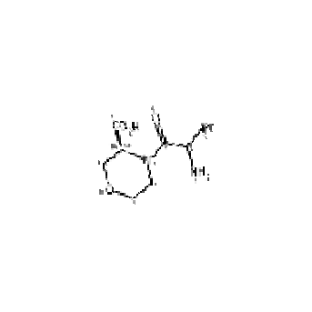 CC(C)C(N)C(=O)N1CCOC[C@H]1C(=O)O